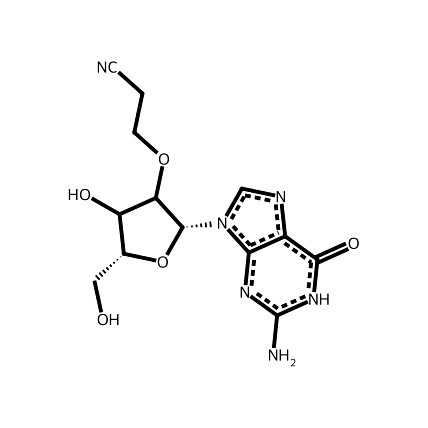 N#CCCOC1C(O)[C@@H](CO)O[C@H]1n1cnc2c(=O)[nH]c(N)nc21